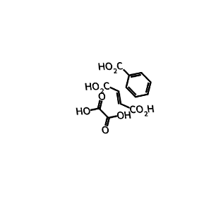 O=C(O)C(=O)O.O=C(O)C=CC(=O)O.O=C(O)c1ccccc1